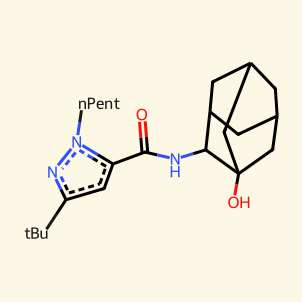 CCCCCn1nc(C(C)(C)C)cc1C(=O)NC1C2CC3CC(C2)CC1(O)C3